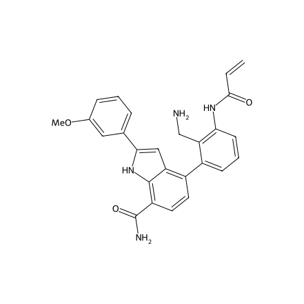 C=CC(=O)Nc1cccc(-c2ccc(C(N)=O)c3[nH]c(-c4cccc(OC)c4)cc23)c1CN